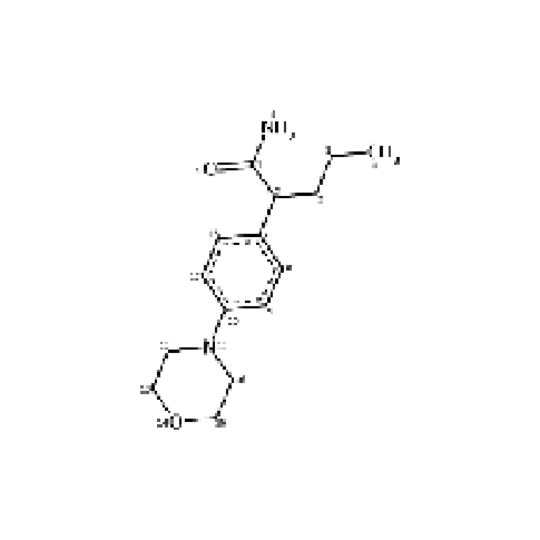 CCCC(C(N)=O)c1ccc(N2CCOCC2)cc1